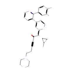 Cc1cc(-c2ncccc2C2=C/C(=C(\C(=O)C#CCCN3CCOCC3)[C@H]3CC3C)NC=C2)ccc1F